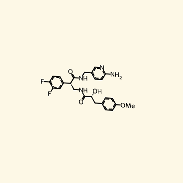 COc1ccc(C[C@@H](O)C(=O)NC[C@H](C(=O)NCc2ccc(N)nc2)c2ccc(F)c(F)c2)cc1